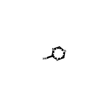 N=c1ncocn1